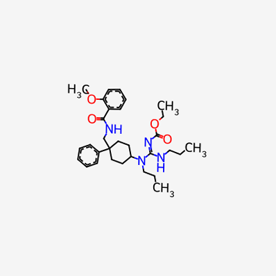 CCCNC(=NC(=O)OCC)N(CCC)C1CCC(CNC(=O)c2ccccc2OC)(c2ccccc2)CC1